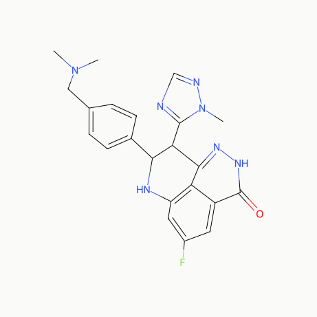 CN(C)Cc1ccc(C2Nc3cc(F)cc4c(=O)[nH]nc(c34)C2c2ncnn2C)cc1